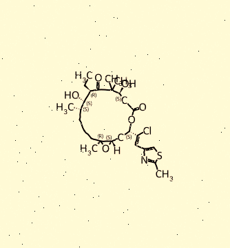 CC[C@H]1C(=O)C(C)(C)[C@@H](O)CC(=O)O[C@H](C(Cl)=Cc2csc(C)n2)C[C@@H]2O[C@]2(C)CCC[C@H](C)[C@@H]1O